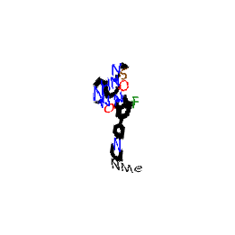 CNC1CCN(c2ccc(-c3cc(F)c4c(c3)C(=O)N(C(C(=O)Nc3nccs3)c3ncn5c3CCC5)C4)cc2)CC1